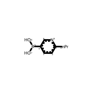 CCCc1ccc(B(O)O)cn1